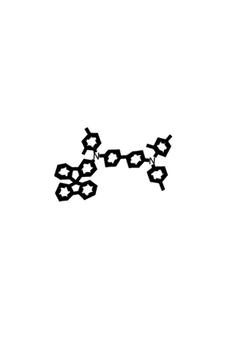 Cc1ccc(N(c2ccc(-c3ccc(N(c4ccc5c(c4)-c4ccccc4C54c5ccccc5-c5ccccc54)c4ccc(C)cc4C)cc3)cc2)c2ccc(C)cc2C)cc1